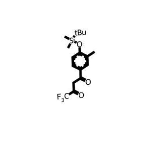 Cc1cc(C(=O)CC(=O)C(F)(F)F)ccc1O[Si](C)(C)C(C)(C)C